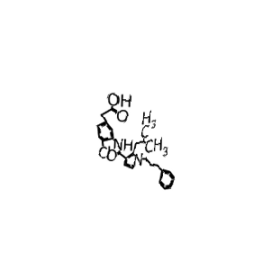 CC(C)Cc1c(C(=O)Nc2cc(CC(=O)O)ccc2Cl)ccn1CCCc1ccccc1